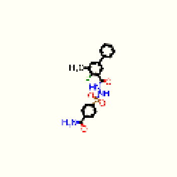 Cc1cc(-c2ccccc2)cc(C(=O)NNS(=O)(=O)c2ccc(C(N)=O)cc2)c1F